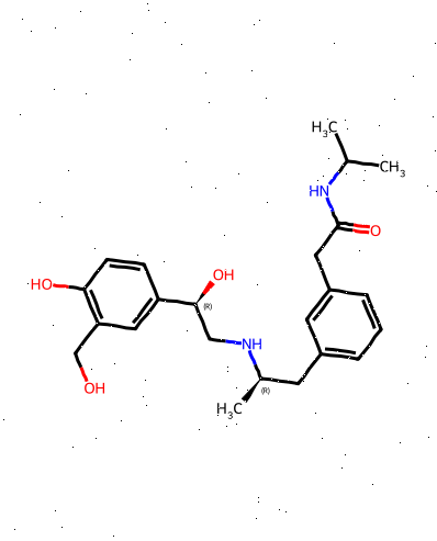 CC(C)NC(=O)Cc1cccc(C[C@@H](C)NC[C@H](O)c2ccc(O)c(CO)c2)c1